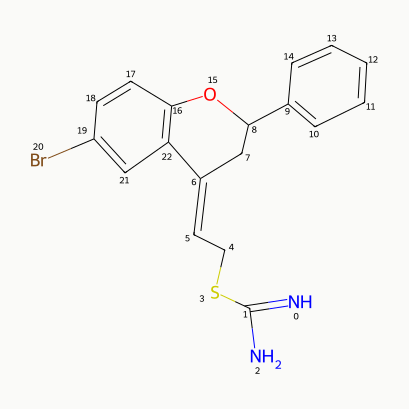 N=C(N)SC/C=C1\CC(c2ccccc2)Oc2ccc(Br)cc21